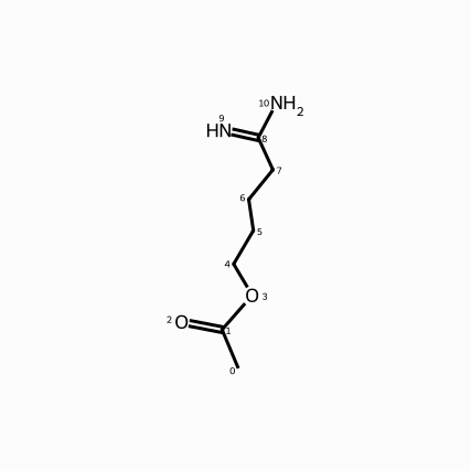 CC(=O)OCCCCC(=N)N